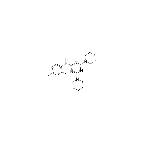 Cc1ccc(Nc2nc(N3CCCCC3)nc(N3CCCCC3)n2)c(C)c1